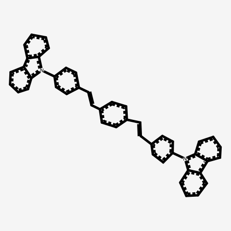 C(=Cc1ccc(-n2c3ccccc3c3ccccc32)cc1)c1ccc(C=Cc2ccc(-n3c4ccccc4c4ccccc43)cc2)cc1